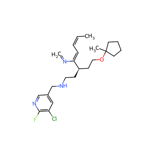 C=N/C(=C\C=C/C)[C@H](CCNCc1cnc(F)c(Cl)c1)CCOC1(C)CCCC1